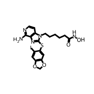 Nc1nccc2c1nc(Sc1cc3c(cc1I)OCO3)n2CCCCCC(=O)NO